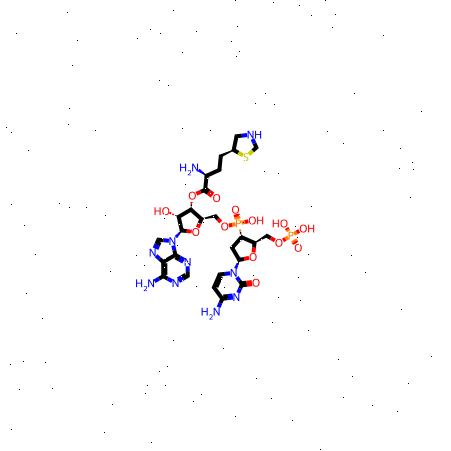 Nc1ccn([C@H]2C[C@H](P(=O)(O)OC[C@H]3O[C@@H](n4cnc5c(N)ncnc54)[C@H](O)[C@@H]3OC(=O)[C@@H](N)CC[C@H]3CNCS3)[C@@H](COP(=O)(O)O)O2)c(=O)n1